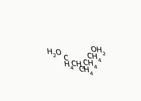 C.C.C.C.C.O.O